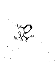 NC(=S)NS(=O)(=O)O.Nc1ccccc1